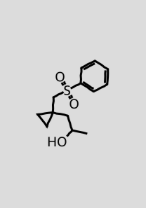 CC(O)CC1(CS(=O)(=O)c2ccccc2)CC1